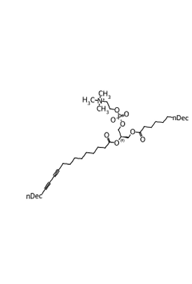 CCCCCCCCCCC#CC#CCCCCCCCCC(=O)O[C@H](COC(=O)CCCCCCCCCCCCCCC)COP(=O)([O-])OCC[N+](C)(C)C